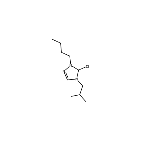 CCCCN1N=CN(CC(C)C)C1Cl